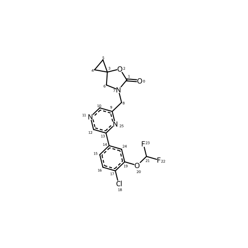 O=C1OC2(CC2)CN1Cc1cncc(-c2ccc(Cl)c(OC(F)F)c2)n1